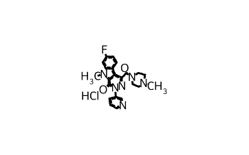 CN1CCN(C(=O)c2nn(-c3cccnc3)c(=O)c3c2c2ccc(F)cc2n3C)CC1.Cl